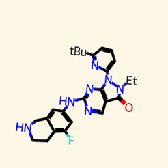 CCn1c(=O)c2cnc(Nc3cc(F)c4c(c3)CNCC4)nc2n1-c1cccc(C(C)(C)C)n1